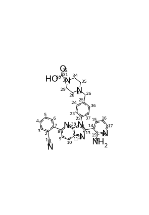 N#Cc1ccccc1-c1ccc2nc(-c3cccnc3N)n(-c3ccc(CN4CCN(C(=O)O)CC4)cc3)c2n1